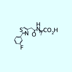 C[C@@H](NC(=O)Cc1csc(-c2cccc(F)c2)n1)C(=O)O